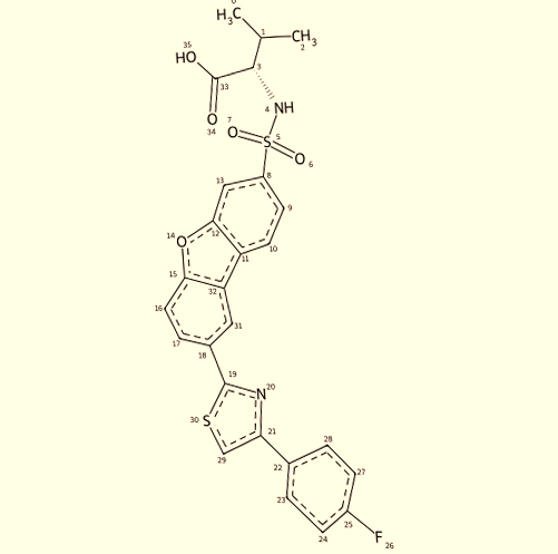 CC(C)[C@H](NS(=O)(=O)c1ccc2c(c1)oc1ccc(-c3nc(-c4ccc(F)cc4)cs3)cc12)C(=O)O